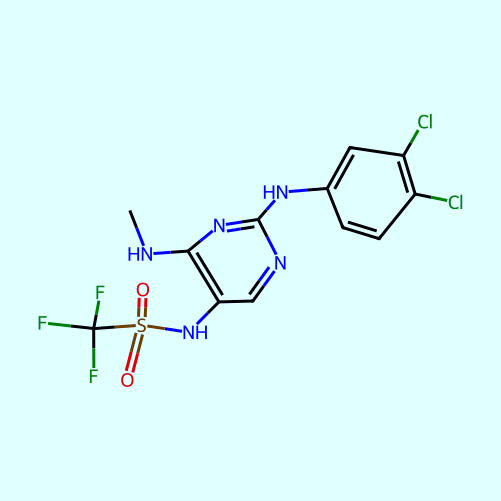 CNc1nc(Nc2ccc(Cl)c(Cl)c2)ncc1NS(=O)(=O)C(F)(F)F